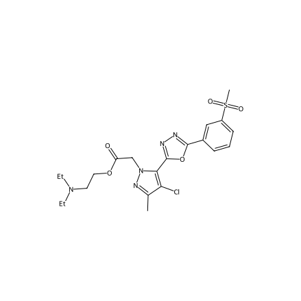 CCN(CC)CCOC(=O)Cn1nc(C)c(Cl)c1-c1nnc(-c2cccc(S(C)(=O)=O)c2)o1